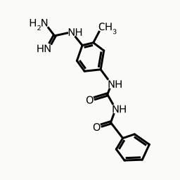 Cc1cc(NC(=O)NC(=O)c2ccccc2)ccc1NC(=N)N